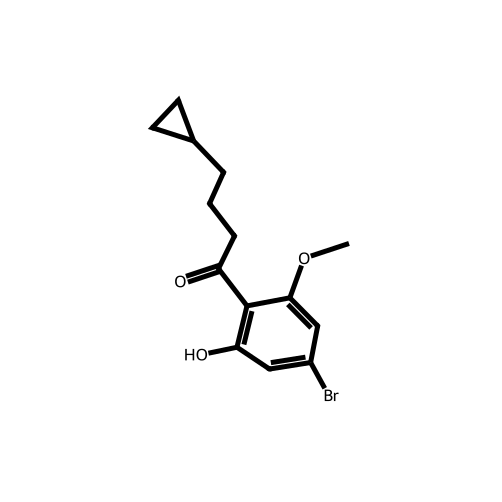 COc1cc(Br)cc(O)c1C(=O)CCCC1CC1